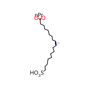 CCCOC(=O)CCCCCCC/C=C\CCCCCCCCS(=O)(=O)O